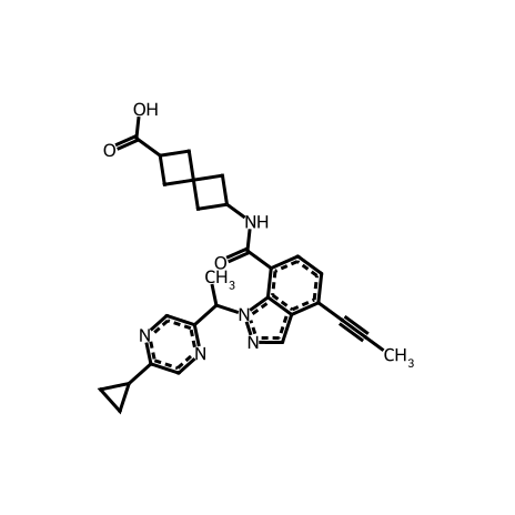 CC#Cc1ccc(C(=O)NC2CC3(C2)CC(C(=O)O)C3)c2c1cnn2C(C)c1cnc(C2CC2)cn1